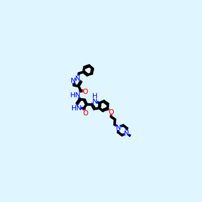 CN1CCN(CCCOc2ccc3[nH]c(-c4cc(NC(=O)c5cnn(Cc6ccccc6)c5)c[nH]c4=O)cc3c2)CC1